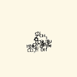 Cc1ncsc1-c1ccc([C@H](CC(=O)NCCC(=O)O)NC(=O)[C@@H]2C[C@@H](O)CN2C(=O)[C@@H](NC(=O)C2(F)CC2)C(C)(C)C)cc1